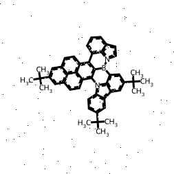 CC(C)(C)c1cc2ccc3c4c5c(c6ccc(c1)c2c36)-n1c2ccc(C(C)(C)C)cc2c2cc(C(C)(C)C)cc(c21)B5n1ccc2cccc-4c21